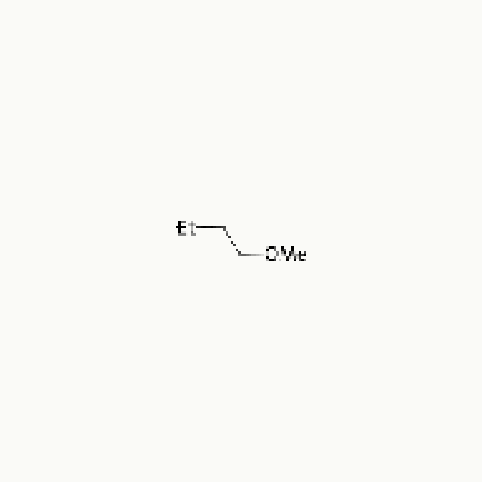 C[CH]CCOC